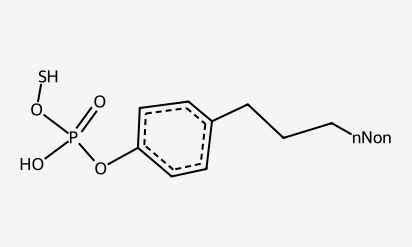 CCCCCCCCCCCCc1ccc(OP(=O)(O)OS)cc1